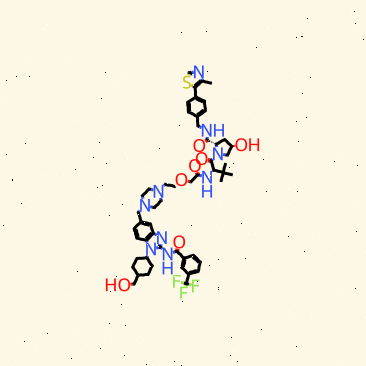 Cc1ncsc1-c1ccc(CNC(=O)[C@@H]2C[C@@H](O)CN2C(=O)[C@@H](NC(=O)COCCN2CCN(Cc3ccc4c(c3)nc(NC(=O)c3cccc(C(F)(F)F)c3)n4C3CCC(CO)CC3)CC2)C(C)(C)C)cc1